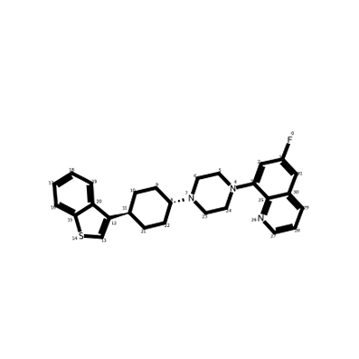 Fc1cc(N2CCN([C@H]3CC[C@H](c4csc5ccccc54)CC3)CC2)c2ncccc2c1